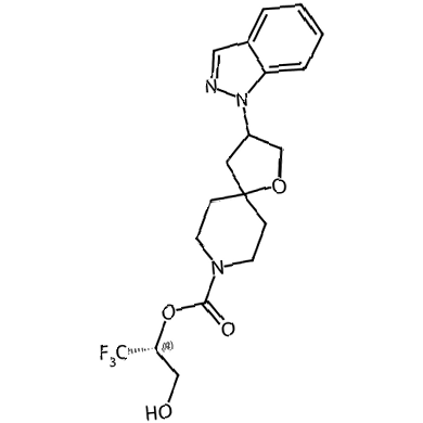 O=C(O[C@H](CO)C(F)(F)F)N1CCC2(CC1)CC(n1ncc3ccccc31)CO2